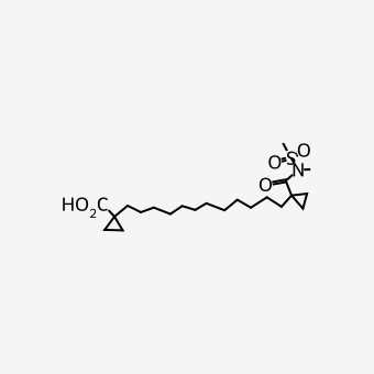 CN(C(=O)C1(CCCCCCCCCCCCC2(C(=O)O)CC2)CC1)S(C)(=O)=O